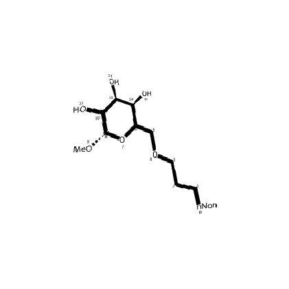 CCCCCCCCCCCCOCC1O[C@H](OC)C(O)[C@@H](O)[C@H]1O